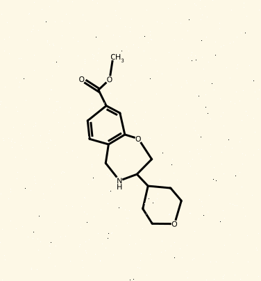 COC(=O)c1ccc2c(c1)OCC(C1CCOCC1)NC2